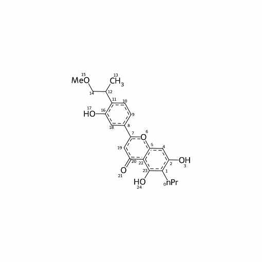 CCCc1c(O)cc2oc(-c3ccc(C(C)COC)c(O)c3)cc(=O)c2c1O